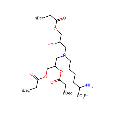 CCCCCCCCCCCC(=O)OCC(O)CN(CCCCC(N)C(=O)OCC)CC(COC(=O)CCCCCCCCCCC)OC(=O)CCCCCCCCCCC